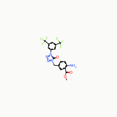 COC(=O)c1cc(Cn2nnn(-c3cc(C(F)(F)F)cc(C(F)(F)F)c3)c2=O)ccc1N